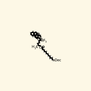 CCCCCCCCCCCCCCCCCCCCCC(=O)OCC(C)CCC[C@@H](C)[C@H]1CC[C@H]2[C@@H]3CCC4CCCC[C@]4(C)[C@H]3CC[C@]12C